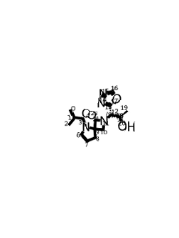 CC(C)C(=O)N1CCCC12CN([C@H](c1nnco1)[C@@H](C)O)C2=O